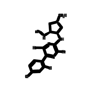 CCCN[C@H]1CN(C(=O)O)C[C@H]1Nc1nc(CC)c(-c2ccc(Cl)cc2Cl)nc1CC